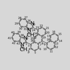 Cn1c(-c2cccc3c(-c4cccc5ccccc45)c4cccc(-c5nc6ccccc6n5C)c4cc23)nc2ccccc21